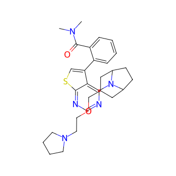 CN(C)C(=O)c1ccccc1-c1csc2ncnc(N3C4CCC3CC(COCCN3CCCC3)C4)c12